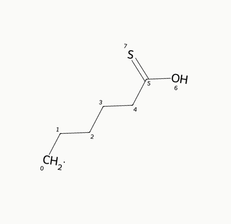 [CH2]CCCCC(O)=S